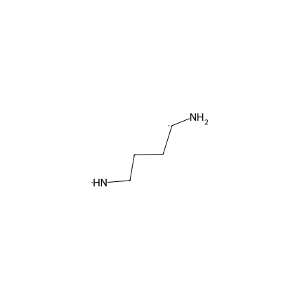 [NH]CCC[CH]N